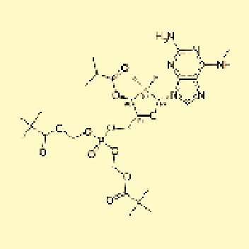 CNc1nc(N)nc2c1ncn2[C@@H]1O[C@H](COP(=O)(OCOC(=O)C(C)(C)C)OCOC(=O)C(C)(C)C)[C@@H](OC(=O)C(C)C)[C@@]1(C)F